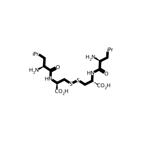 CC(C)C[C@H](N)C(=O)N[C@@H](CSSC[C@H](NC(=O)[C@@H](N)CC(C)C)C(=O)O)C(=O)O